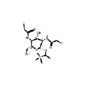 CC(O[C@@H]1O[C@H](CO)[C@@H](NC(=O)CCl)[C@H](O)[C@@H]1NC(=O)CCl)[Si](C)(C)C